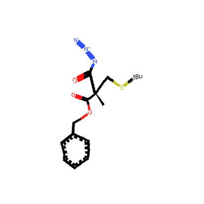 CC(C)(C)SC[C@@](C)(C(=O)N=[N+]=[N-])C(=O)OCc1ccccc1